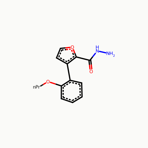 CCCOc1ccccc1-c1ccoc1C(=O)NN